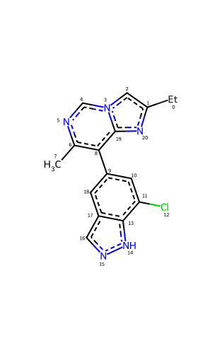 CCc1cn2cnc(C)c(-c3cc(Cl)c4[nH]ncc4c3)c2n1